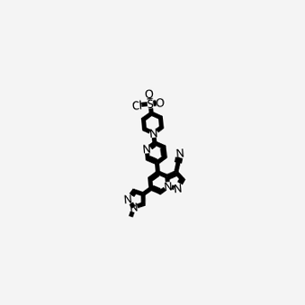 CN1CC(c2cc(-c3ccc(N4CCC(S(=O)(=O)Cl)CC4)nc3)c3c(C#N)cnn3c2)C=N1